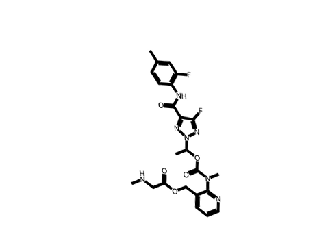 CNCC(=O)OCc1cccnc1N(C)C(=O)OC(C)n1nc(F)c(C(=O)Nc2ccc(C)cc2F)n1